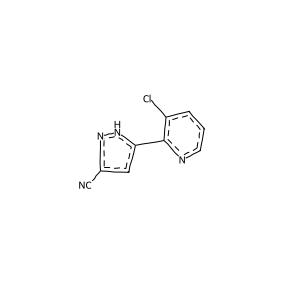 N#Cc1cc(-c2ncccc2Cl)[nH]n1